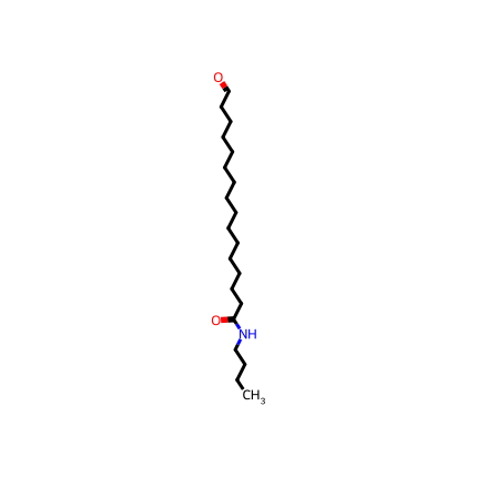 CCCCNC(=O)CCCCCCCCCCCCCCC=O